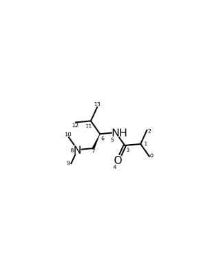 CC(C)C(=O)N[C@@H](CN(C)C)C(C)C